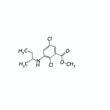 CCC(C)Nc1cc(Cl)cc(C(=O)OC)c1Cl